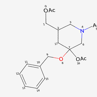 CC(=O)OCC1CN(C(C)=O)CC(OCc2ccccc2)(OC(C)=O)C1